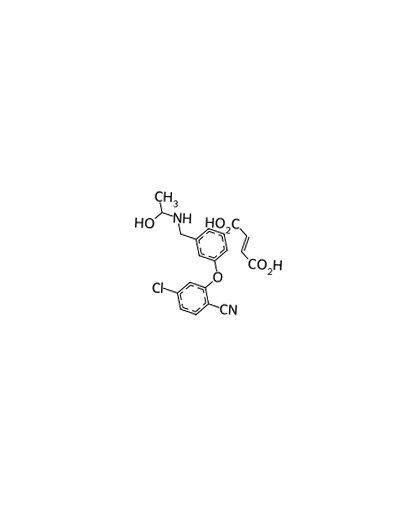 CC(O)NCc1cccc(Oc2cc(Cl)ccc2C#N)c1.O=C(O)C=CC(=O)O